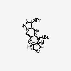 CC(C)c1cnn2cc3c(nc12)N(C(C)(C)C)[C@H]1COC[C@H]1O3